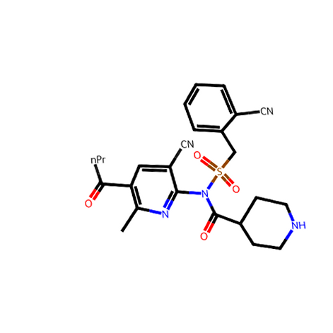 CCCC(=O)c1cc(C#N)c(N(C(=O)C2CCNCC2)S(=O)(=O)Cc2ccccc2C#N)nc1C